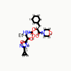 CC[C@H](NC(=O)O[C@@H](CC1CCCCC1)C(=O)N1CCOCC1)C(=O)c1nc(C2CC2)no1